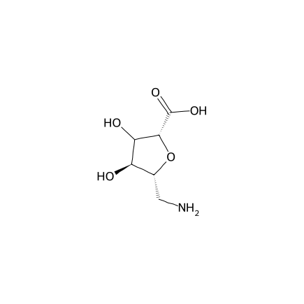 NC[C@H]1O[C@@H](C(=O)O)C(O)[C@@H]1O